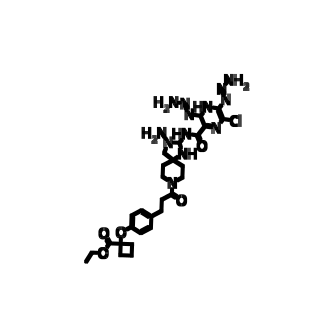 CCOC(=O)C1(Oc2ccc(CCC(=O)N3CCC4(CC3)CN(N)C(NC(=O)C3=NC(Cl)=C(N=NN)NC3N=NN)N4)cc2)CCC1